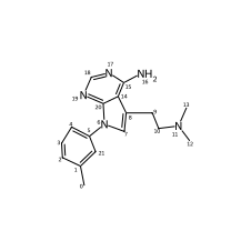 Cc1cccc(-n2cc(CCN(C)C)c3c(N)ncnc32)c1